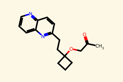 CC(=O)COC1(CCc2ccc3ncccc3n2)CCC1